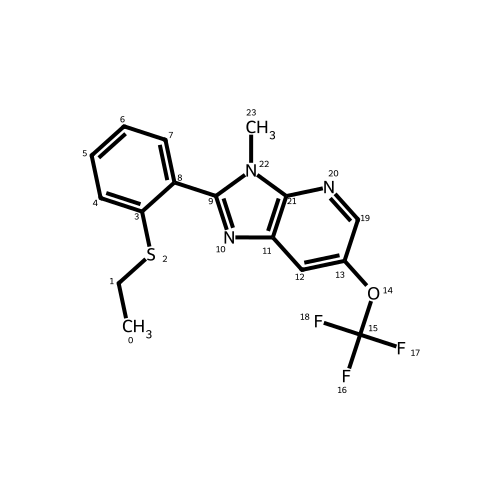 CCSc1ccccc1-c1nc2cc(OC(F)(F)F)cnc2n1C